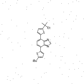 CCC(C)c1ccc(-c2ccc(-c3ccc(C(C)(C)CC)s3)c3nsnc23)s1